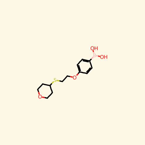 OB(O)c1ccc(OCCSC2CCOCC2)cc1